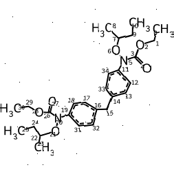 CCOC(=O)N(OC(C)CC)c1ccc(Cc2ccc(N(OC(C)CC)C(=O)OCC)cc2)cc1